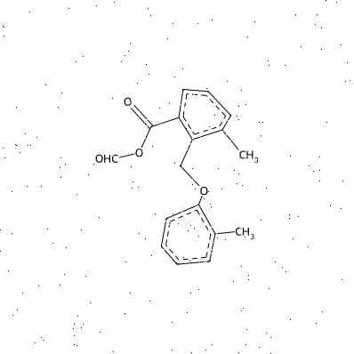 Cc1ccccc1OCc1c(C)cccc1C(=O)OC=O